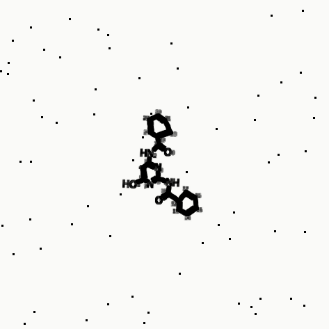 O=C(Nc1cc(O)nc(NC(=O)c2ccccc2)n1)c1ccccc1